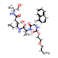 CCCCC[C@H](NC(=O)[C@H](Cc1cccc2ccccc12)NC(=O)OCCOCCOC)C(=O)N[C@@H](CC(C)C)[C@@H](O)CC(=O)N[C@H](CO)[C@@H](C)CC